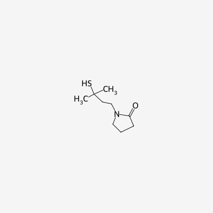 CC(C)(S)CCN1CCCC1=O